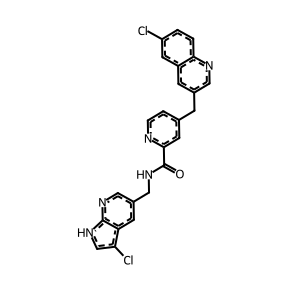 O=C(NCc1cnc2[nH]cc(Cl)c2c1)c1cc(Cc2cnc3ccc(Cl)cc3c2)ccn1